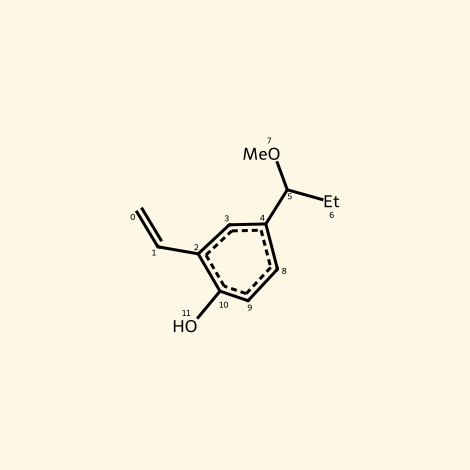 C=Cc1cc(C(CC)OC)ccc1O